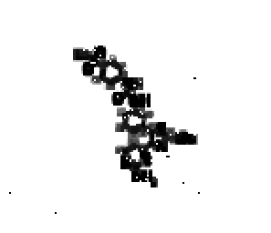 CCS(=O)(=O)c1ccc(NC(=O)Nc2cccc(-c3sc(C(C)(C)C)nc3-c3ccnc(N)n3)c2)cc1